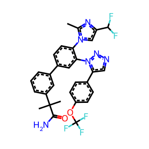 Cc1nc(C(F)F)cn1-c1ccc(-c2cccc(C(C)(C)C(N)=O)c2)cc1-n1nncc1-c1ccc(OC(F)(F)F)cc1